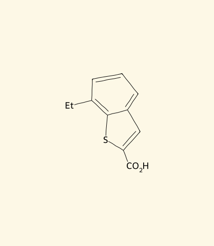 CCc1cccc2cc(C(=O)O)sc12